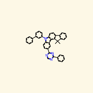 CC1(C)c2ccccc2-c2ccc3c(c21)c1cc(-c2ncnc(-c4ccccc4)n2)ccc1n3-c1cccc(-c2ccccc2)c1